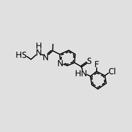 CC(=NNCS)c1ccc(C(=S)Nc2cccc(Cl)c2F)cn1